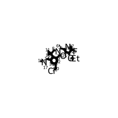 CCOc1cc([C@H](C)N2CC3(CC3)c3c(CN(C)C)cc(CCl)cc3C2=O)ncc1F